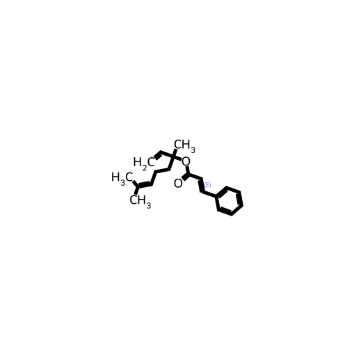 C=CC(C)(CCC=C(C)C)OC(=O)/C=C/c1ccccc1